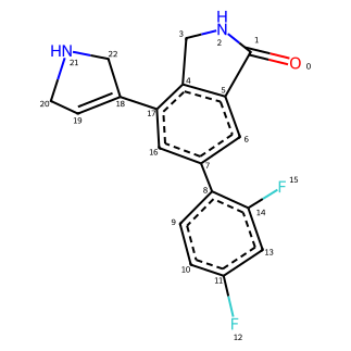 O=C1NCc2c1cc(-c1ccc(F)cc1F)cc2C1=CCNC1